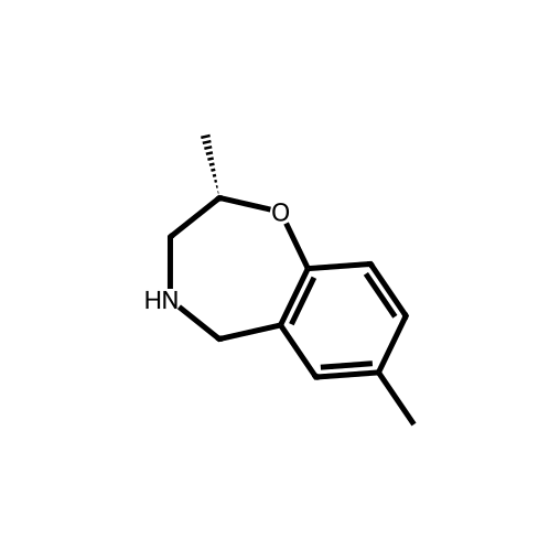 Cc1ccc2c(c1)CNC[C@H](C)O2